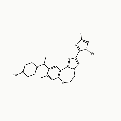 Cc1nc(-c2cn3c(n2)-c2cc(C(C)N4CCN(C(C)(C)C)CC4)c(C)cc2OCC3)n(C(C)C)n1